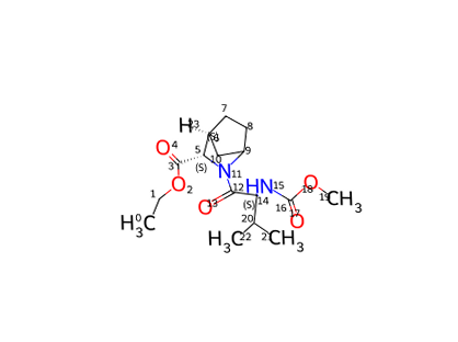 CCOC(=O)[C@@H]1[C@H]2CCC(C2)N1C(=O)[C@@H](NC(=O)OC)C(C)C